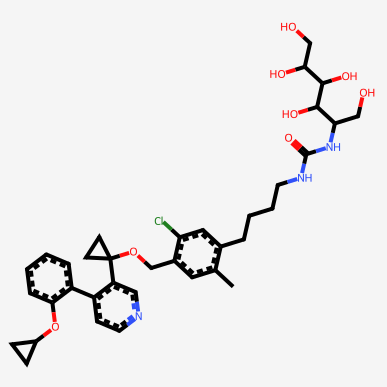 Cc1cc(COC2(c3cnccc3-c3ccccc3OC3CC3)CC2)c(Cl)cc1CCCCNC(=O)NC(CO)C(O)C(O)C(O)CO